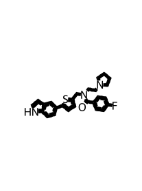 O=C(c1ccc(F)cc1)N(CCN1CCCC1)Cc1ccc(-c2ccc3[nH]ccc3c2)s1